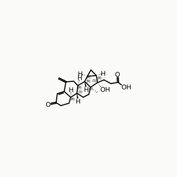 C=C1C[C@@H]2[C@H](CC[C@@]3(C)[C@H]2[C@H]2C[C@H]2[C@@]3(O)CCC(=O)O)[C@H]2CCC(=O)C=C12